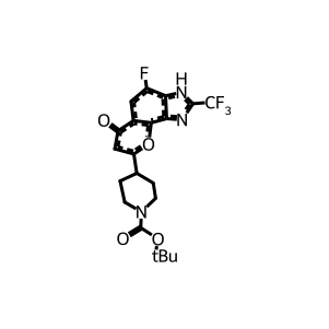 CC(C)(C)OC(=O)N1CCC(c2cc(=O)c3cc(F)c4[nH]c(C(F)(F)F)nc4c3o2)CC1